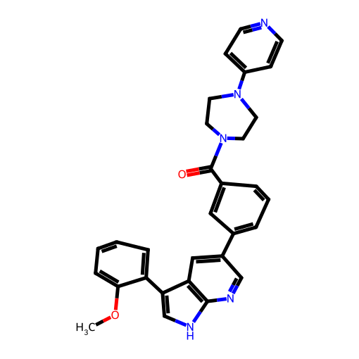 COc1ccccc1-c1c[nH]c2ncc(-c3cccc(C(=O)N4CCN(c5ccncc5)CC4)c3)cc12